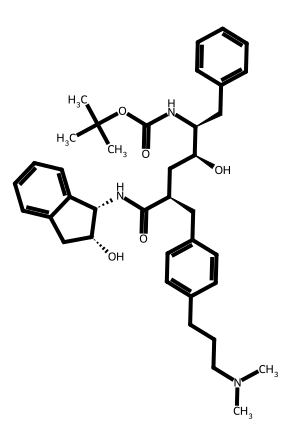 CN(C)CCCc1ccc(C[C@H](C[C@H](O)[C@H](Cc2ccccc2)NC(=O)OC(C)(C)C)C(=O)N[C@H]2c3ccccc3C[C@H]2O)cc1